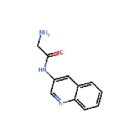 NCC(=O)Nc1cnc2ccccc2c1